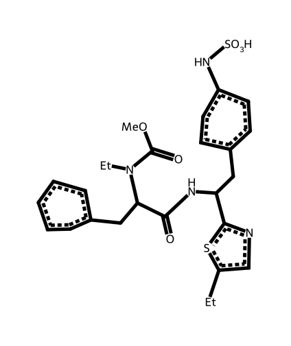 CCc1cnc(C(Cc2ccc(NS(=O)(=O)O)cc2)NC(=O)C(Cc2ccccc2)N(CC)C(=O)OC)s1